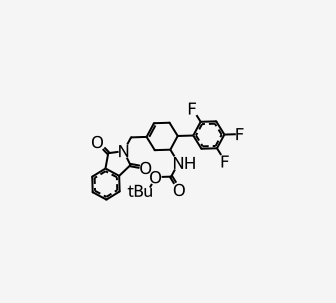 CC(C)(C)OC(=O)NC1CC(CN2C(=O)c3ccccc3C2=O)=CCC1c1cc(F)c(F)cc1F